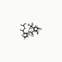 CC(C)CC(C)c1sccc1NC(=O)c1c(C(F)(F)F)nn(C)c1F